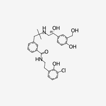 CC(C)(Cc1cccc(C(=O)NCCc2cccc(Cl)c2O)c1)NC[C@H](O)c1ccc(O)c(CO)c1